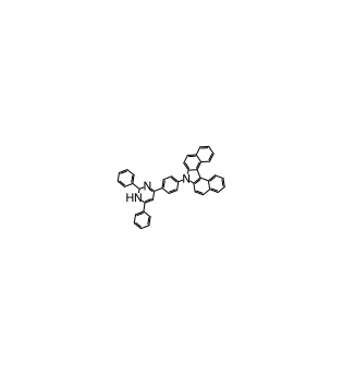 C1=C(c2ccccc2)NC(c2ccccc2)N=C1c1ccc(-n2c3ccc4ccccc4c3c3c4ccccc4ccc32)cc1